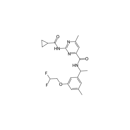 Cc1cc(OCC(F)F)cc(C(C)NC(=O)c2cc(C)nc(NC(=O)C3CC3)n2)c1